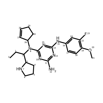 CCC(C1CCCN1)N(c1nc(N)nc(Nc2ccc(OC)c(F)c2)n1)C1C=CCC1